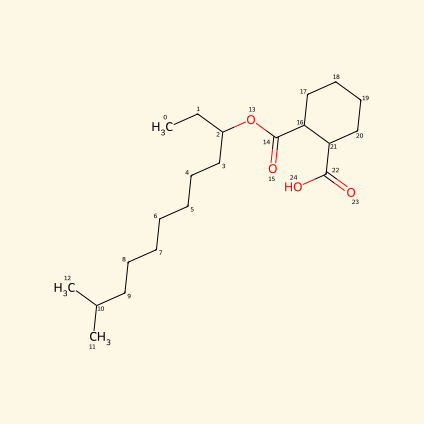 CCC(CCCCCCCC(C)C)OC(=O)C1CCCCC1C(=O)O